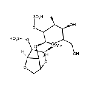 CO[C@H]1OC2CO[C@@H](C1OS(=O)(=O)O)[C@H]2O[C@@H]1OC(CO)[C@H](O)[C@H](C)C1OS(=O)(=O)O